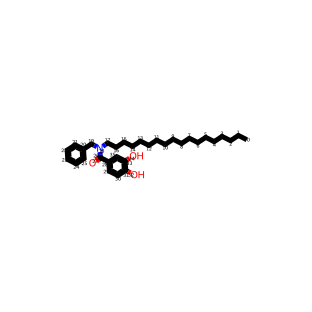 CCCCCCCCCCCCCCCCCCN(Cc1ccccc1)C(=O)c1ccc(O)c(O)c1